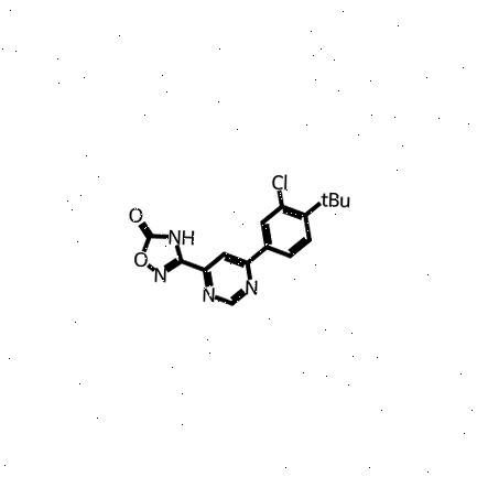 CC(C)(C)c1ccc(-c2cc(-c3noc(=O)[nH]3)ncn2)cc1Cl